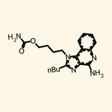 CCCCc1nc2c(N)nc3ccccc3c2n1CCCCOC(N)=O